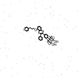 CC(C)(C)C(c1ccc(-c2nc3cccc(OCCCc4ccncc4)c3nc2-c2ccccc2)cc1)(N(C(=O)O)C(=O)O)C(C)(C)C